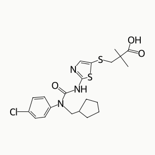 CC(C)(CSc1cnc(NC(=O)N(CC2CCCC2)c2ccc(Cl)cc2)s1)C(=O)O